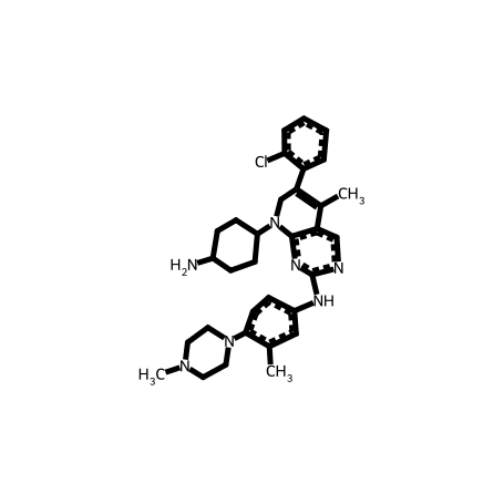 CC1=C(c2ccccc2Cl)CN(C2CCC(N)CC2)c2nc(Nc3ccc(N4CCN(C)CC4)c(C)c3)ncc21